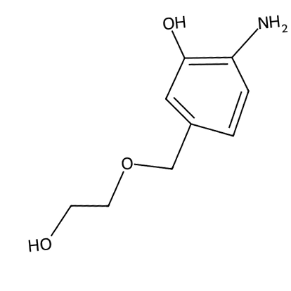 Nc1ccc(COCCO)cc1O